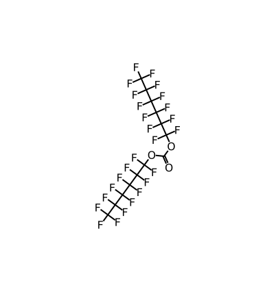 O=C(OC(F)(F)C(F)(F)C(F)(F)C(F)(F)C(F)(F)C(F)(F)F)OC(F)(F)C(F)(F)C(F)(F)C(F)(F)C(F)(F)C(F)(F)F